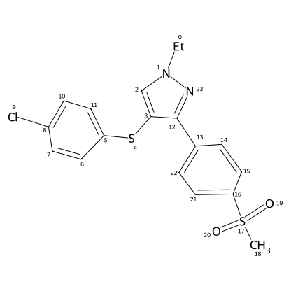 CCn1cc(Sc2ccc(Cl)cc2)c(-c2ccc(S(C)(=O)=O)cc2)n1